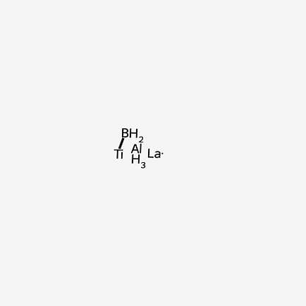 [AlH3].[BH2][Ti].[La]